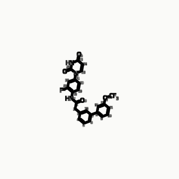 O=C(Cc1cccc(-c2cccc(OC(F)(F)F)c2)c1)Nc1ccc(-n2ccc(=O)[nH]c2=O)cc1F